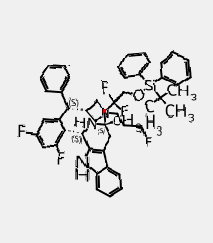 CC(C)(C)[Si](OCC(F)(F)C[C@]1(C)Cc2c([nH]c3ccccc23)[C@H](c2c(F)cc(F)cc2[C@H](c2c[c]ccc2)C2CN(CCCF)C2)N1)(c1ccccc1)c1ccccc1